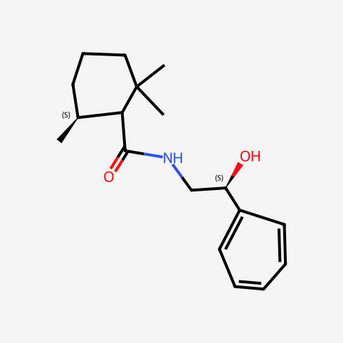 C[C@H]1CCCC(C)(C)C1C(=O)NC[C@@H](O)c1ccccc1